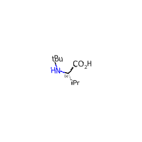 CC(C)[C@H](NC(C)(C)C)C(=O)O